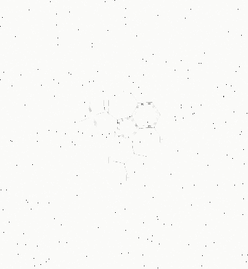 CS(=O)(=O)Nc1nn(C(F)C(F)F)c2c(Br)ccc(Cl)c12